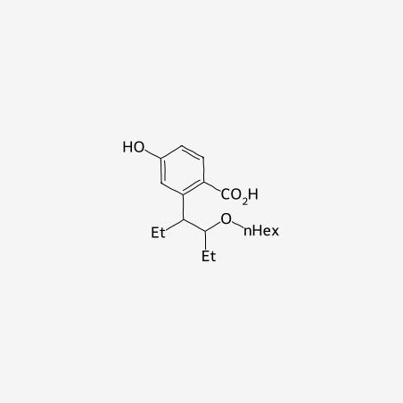 CCCCCCOC(CC)C(CC)c1cc(O)ccc1C(=O)O